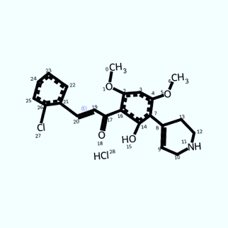 COc1cc(OC)c(C2=CCNCC2)c(O)c1C(=O)/C=C/c1ccccc1Cl.Cl